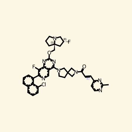 Cc1nccc(/C=C/C(=O)N2CC3(CCN(c4nc(OC[C@@]56CCCN5C[C@H](F)C6)nc5c(F)c(-c6cccc7cccc(Cl)c67)ncc45)C3)C2)n1